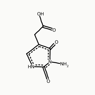 Nn1c(=O)[nH]cc(CC(=O)O)c1=O